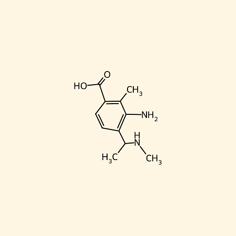 CNC(C)c1ccc(C(=O)O)c(C)c1N